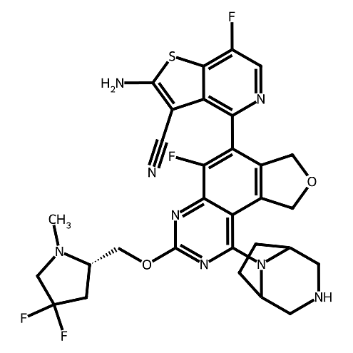 CN1CC(F)(F)C[C@H]1COc1nc(N2C3CCC2CNC3)c2c3c(c(-c4ncc(F)c5sc(N)c(C#N)c45)c(F)c2n1)COC3